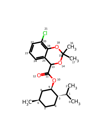 CC(C)[C@@H]1CC[C@@H](C)C[C@H]1OC(=O)C1OC(C)(C)Oc2c(Cl)cccc21